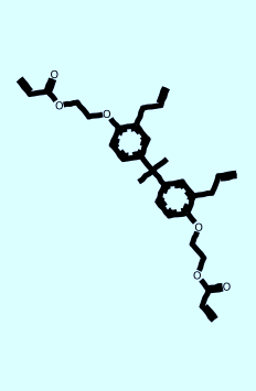 C=CCc1cc(C(C)(C)c2ccc(OCCOC(=O)C=C)c(CC=C)c2)ccc1OCCOC(=O)C=C